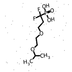 CC(C)OCCOCCC(F)(F)P(=O)(O)O